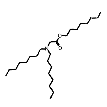 CCCCCCCCOC(=O)CN(CCCCCCCC)CCCCCCCC